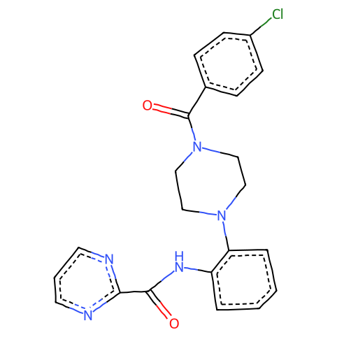 O=C(Nc1ccccc1N1CCN(C(=O)c2ccc(Cl)cc2)CC1)c1ncccn1